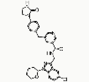 O=C(NCc1nn(C2CCCCO2)c2ccc(Cl)cc12)c1cncc(Cc2ccc(N3CCNC3=O)cc2)c1